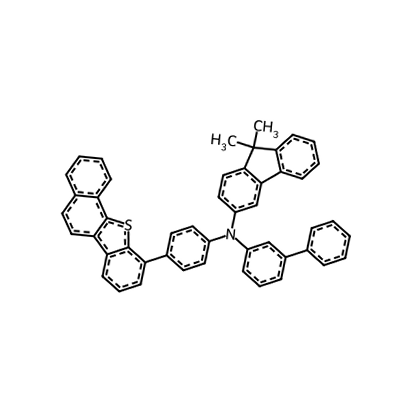 CC1(C)c2ccccc2-c2cc(N(c3ccc(-c4cccc5c4sc4c6ccccc6ccc54)cc3)c3cccc(-c4ccccc4)c3)ccc21